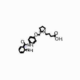 N=C1C=CC=C/C1=C(\Cl)Nc1ccc(OC[C@H]2CCCN2CCCC(=O)O)cc1